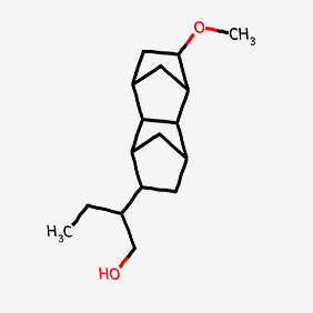 CCC(CO)C1CC2CC1C1C3CC(OC)C(C3)C21